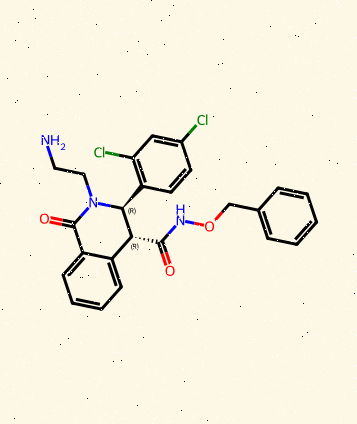 NCCN1C(=O)c2ccccc2[C@@H](C(=O)NOCc2ccccc2)[C@@H]1c1ccc(Cl)cc1Cl